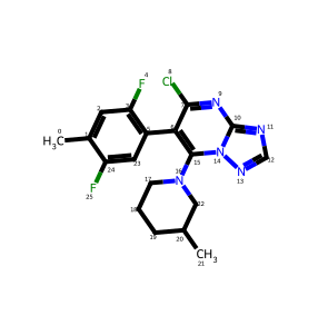 Cc1cc(F)c(-c2c(Cl)nc3ncnn3c2N2CCCC(C)C2)cc1F